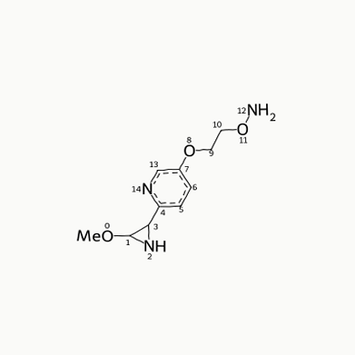 COC1NC1c1ccc(OCCON)cn1